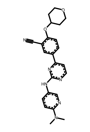 CN(C)c1ccc(Nc2nccc(-c3ccc(OC4CCOCC4)c(C#N)c3)n2)cn1